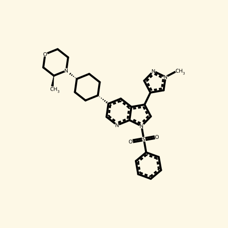 C[C@H]1COCCN1[C@H]1CC[C@@H](c2cnc3c(c2)c(-c2cnn(C)c2)cn3S(=O)(=O)c2ccccc2)CC1